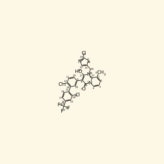 Cc1cccn2c(=O)c(-c3ccc(Cl)c(-c4ccc(C(F)(F)F)cc4Cl)c3)c(O)[n+](Cc3cnc(Cl)s3)c12